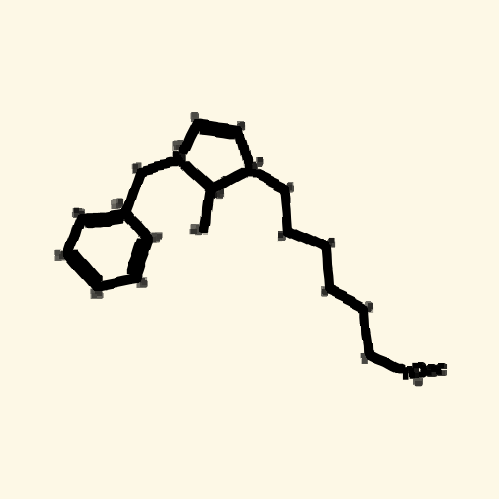 CCCCCCCCCCCCCCCCN1C=CN(Cc2ccccc2)C1C